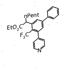 CCCCCC(C(=O)OCC)c1cc(-c2ccccc2)cc(-c2ccncc2)c1C(F)(F)F